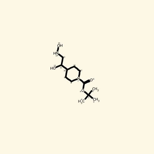 CC(C)(C)OC(=O)N1CCC(C(O)CNO)CC1